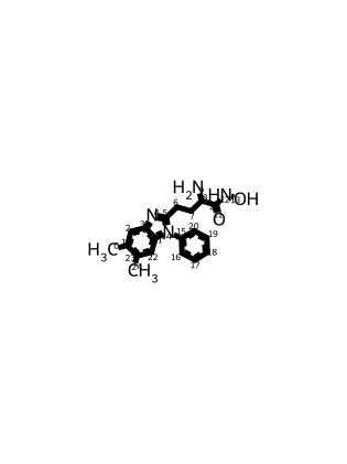 Cc1cc2nc(CCC(N)C(=O)NO)n(-c3ccccc3)c2cc1C